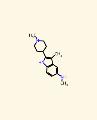 CNc1ccc2[nH]c(C3CCN(C)CC3)c(C)c2c1